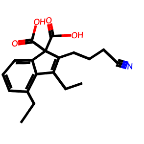 CCC1=C(CCCC#N)C(C(=O)O)(C(=O)O)c2cccc(CC)c21